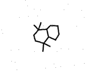 CC1(C)CCC(C)(C)C2CCCCC21